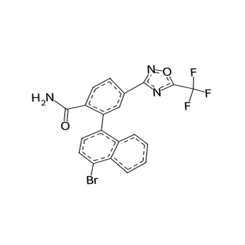 NC(=O)c1ccc(-c2noc(C(F)(F)F)n2)cc1-c1ccc(Br)c2ccccc12